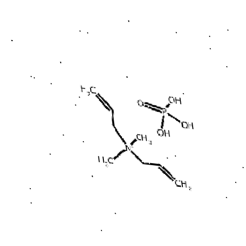 C=CC[N+](C)(C)CC=C.O=P(O)(O)O